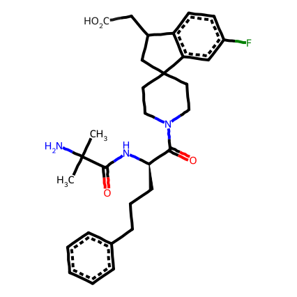 CC(C)(N)C(=O)N[C@H](CCCc1ccccc1)C(=O)N1CCC2(CC1)CC(CC(=O)O)c1ccc(F)cc12